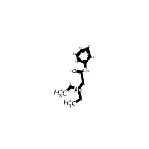 C[CH2][Al]([CH2]C)[CH2]C(=O)Oc1ccccc1